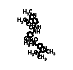 Cc1cc(N(C)C)c2cc(NC(=O)Nc3ccc(C)c(NC(=O)Nc4ccc5nc(C)cc(N(C)C)c5c4)c3)ccc2n1